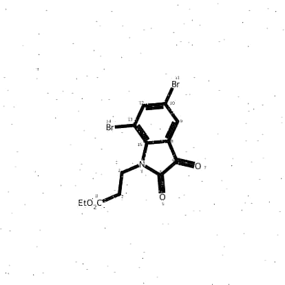 CCOC(=O)CCN1C(=O)C(=O)c2cc(Br)cc(Br)c21